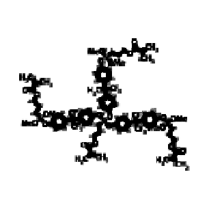 C=C(C)C(=O)OCCC[Si](OC)(OC)Oc1ccc(C(C)(c2ccc(O[Si](CCCOC(=O)C(=C)C)(Oc3ccc(C(c4ccc(O[Si](CCCOC(=O)C(=C)C)(OC)OC)cc4)(C(F)(F)F)C(F)(F)F)cc3)Oc3ccc(C(c4ccc(O[Si](CCCOC(=O)C(=C)C)(OC)OC)cc4)(C(F)(F)F)C(F)(F)F)cc3)cc2)C(F)(F)F)cc1